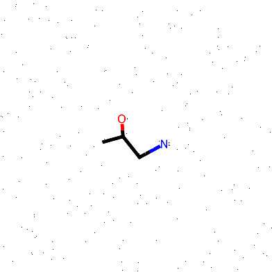 CC([O])C[N]